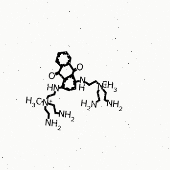 C[N+](CCN)(CCN)CCNc1ccc(NCC[N+](C)(CCN)CCN)c2c1C(=O)c1ccccc1C2=O